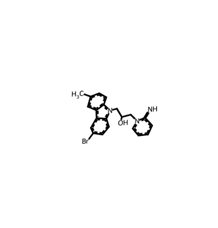 Cc1ccc2c(c1)c1cc(Br)ccc1n2CC(O)Cn1ccccc1=N